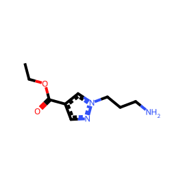 CCOC(=O)c1cnn(CCCN)c1